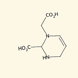 O=C(O)CN1C=CCNC1C(=O)O